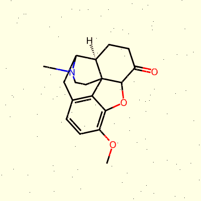 COc1ccc2c3c1OC1C(=O)CC[C@@H]4C(C2)N(C)CCC314